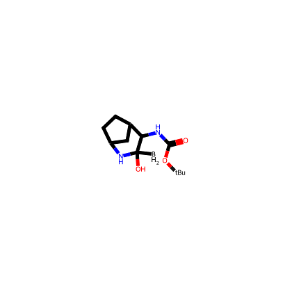 BC1(O)NC2CCC(C2)C1NC(=O)OC(C)(C)C